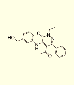 CCn1nc(-c2ccccc2)c(C(C)=O)c(Nc2cccc(CO)c2)c1=O